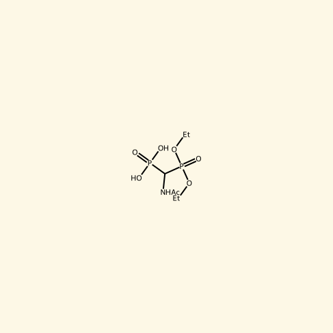 CCOP(=O)(OCC)C(NC(C)=O)P(=O)(O)O